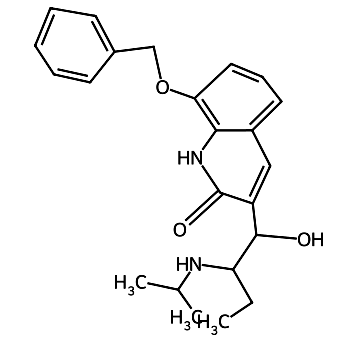 CCC(NC(C)C)C(O)c1cc2cccc(OCc3ccccc3)c2[nH]c1=O